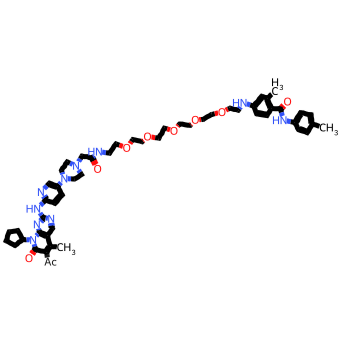 CC(=O)c1c(C)c2cnc(Nc3ccc(N4CCN(CC(=O)NCCOCCOCCOCCOCCOCCNc5ccc(C(=O)Nc6ccc(C)cc6)c(C)c5)CC4)cn3)nc2n(C2CCCC2)c1=O